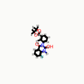 Cc1c(B2OC(C)(C)C(C)(C)O2)cccc1N1C(=O)c2cccc(F)c2N(C)C1O